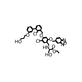 CCOC(=O)C(CO)NCc1cc(Cl)c(OCc2cccc(-c3cccc(OCCCO)c3)c2Cl)cc1OCc1ccc2nonc2c1